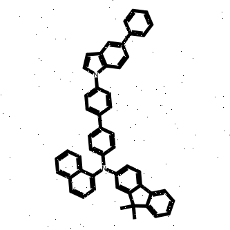 CC1(C)c2ccccc2-c2ccc(N(c3ccc(-c4ccc(-n5ccc6cc(-c7ccccc7)ccc65)cc4)cc3)c3cccc4ccccc34)cc21